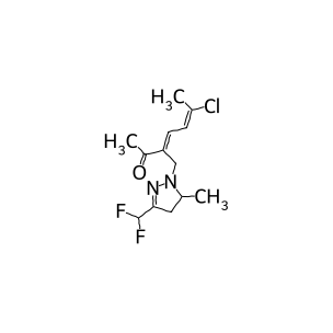 CC(=O)/C(=C/C=C(\C)Cl)CN1N=C(C(F)F)CC1C